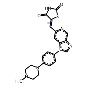 CN1CCN(c2ccc(-n3cnc4cnc(/C=C5\SC(=O)NC5=O)cc43)cc2)CC1